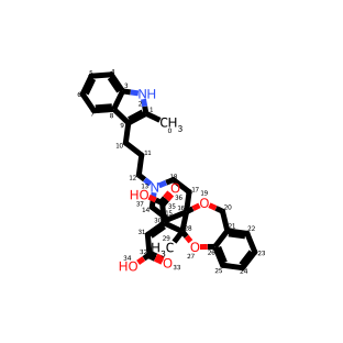 Cc1[nH]c2ccccc2c1CCCN1CCC2(CC1)OCc1ccccc1OC2(C)/C(=C\C(=O)O)C(=O)O